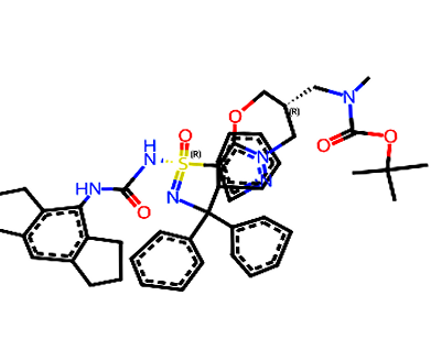 CN(C[C@H]1COc2c([S@](=O)(=NC(c3ccccc3)(c3ccccc3)c3ccccc3)NC(=O)Nc3c4c(cc5c3CCC5)CCC4)cnn2C1)C(=O)OC(C)(C)C